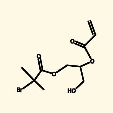 C=CC(=O)OC(CO)COC(=O)C(C)(C)Br